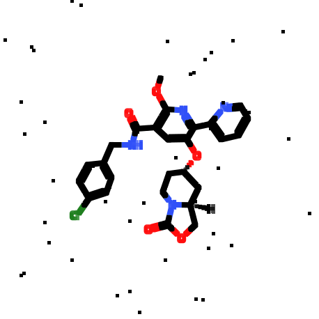 COc1nc(-c2ccccn2)c(O[C@H]2CCN3C(=O)OC[C@@H]3C2)cc1C(=O)NCc1ccc(Cl)cc1